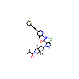 Cc1cc(C#Cc2cccs2)cnc1NC(=O)c1c(Cl)cnn1C1C[C@@H]2CN(C(=O)C(C)C)C[C@@H]2C1